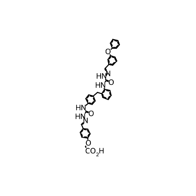 O=C(O)COc1ccc(/C=N/NC(=O)Nc2ccc(Cc3ccccc3NC(=O)N/N=C/c3cccc(Oc4ccccc4)c3)cc2)cc1